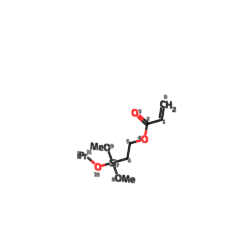 C=CC(=O)OCC[Si](OC)(OC)OC(C)C